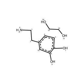 NCCc1ccc(O)c(O)c1.OCCO